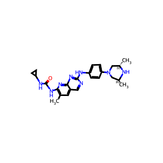 Cc1cc2cnc(Nc3ccc(N4C[C@@H](C)N[C@@H](C)C4)cc3)nc2nc1NC(=O)NC1CC1